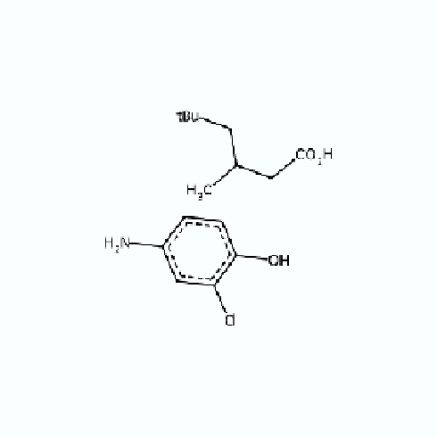 CC(CC(=O)O)CC(C)(C)C.Nc1ccc(O)c(Cl)c1